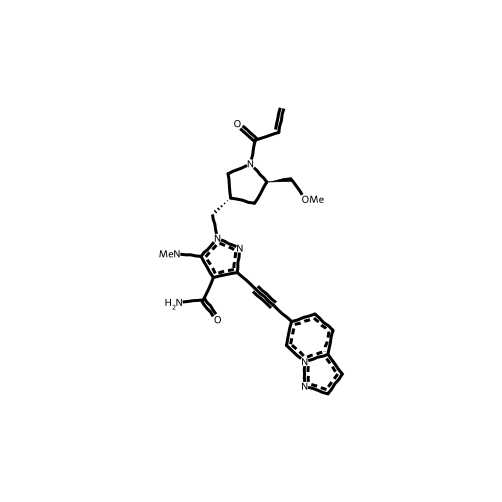 C=CC(=O)N1C[C@@H](Cn2nc(C#Cc3ccc4ccnn4c3)c(C(N)=O)c2NC)C[C@@H]1COC